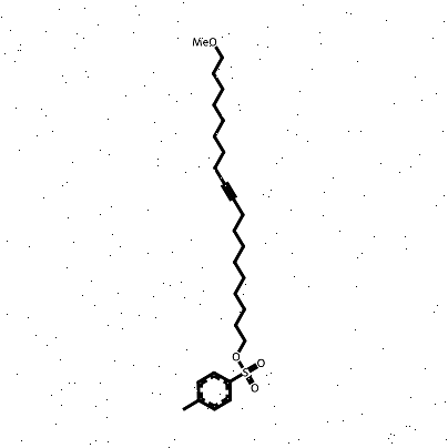 COCCCCCCCCC#CCCCCCCCCCOS(=O)(=O)c1ccc(C)cc1